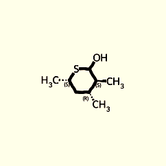 C[C@@H]1C[C@H](C)SC(O)[C@H]1C